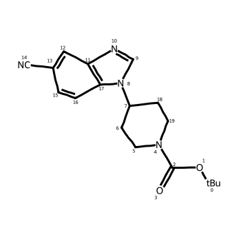 CC(C)(C)OC(=O)N1CCC(n2cnc3cc(C#N)ccc32)CC1